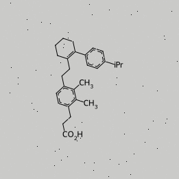 Cc1c(CCC(=O)O)ccc(CCC2=C(c3ccc(C(C)C)cc3)CCCC2)c1C